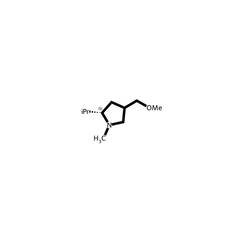 COCC1C[C@@H](C(C)C)N(C)C1